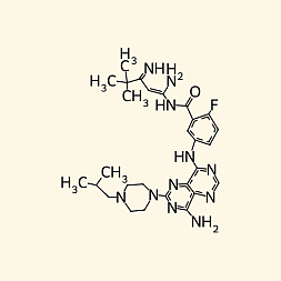 CC(C)CN1CCN(c2nc(N)c3ncnc(Nc4ccc(F)c(C(=O)N/C(N)=C/C(=N)C(C)(C)C)c4)c3n2)CC1